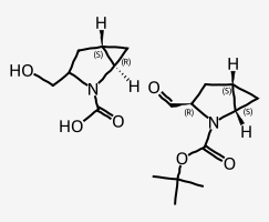 CC(C)(C)OC(=O)N1[C@@H](C=O)C[C@@H]2C[C@@H]21.O=C(O)N1C(CO)C[C@@H]2C[C@H]21